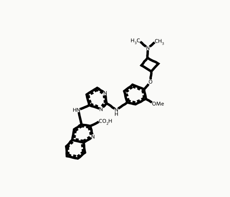 COc1cc(Nc2nccc(Nc3cc4ccccc4nc3C(=O)O)n2)ccc1OC1CC(N(C)C)C1